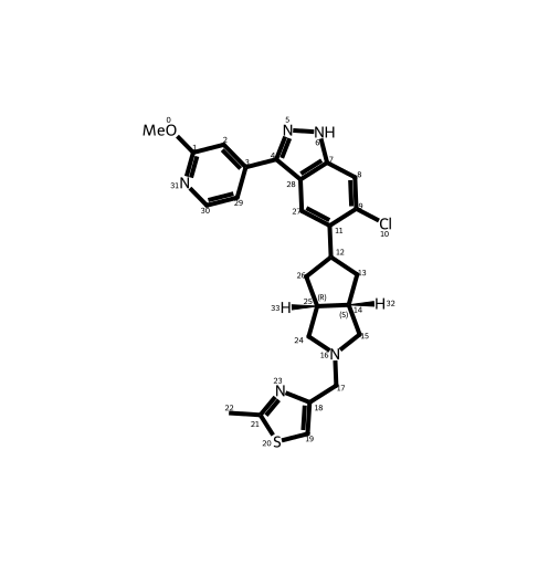 COc1cc(-c2n[nH]c3cc(Cl)c(C4C[C@@H]5CN(Cc6csc(C)n6)C[C@@H]5C4)cc23)ccn1